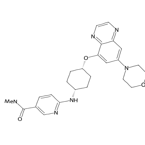 CNC(=O)c1ccc(N[C@H]2CC[C@@H](Oc3cc(N4CCOCC4)cc4nccnc34)CC2)nc1